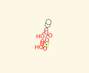 O=C(COC(=O)C(F)(F)S(=O)(=O)O)OCC1(CCCO)CC2CCCC(C2)C1